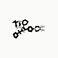 CC(C)(c1ccccc1)c1nc([C@@H]2CCCC[C@H]2C(=O)NC2(C#N)CC2)c(-c2ccc(N3CCS(O)(O)CC3)cc2)s1